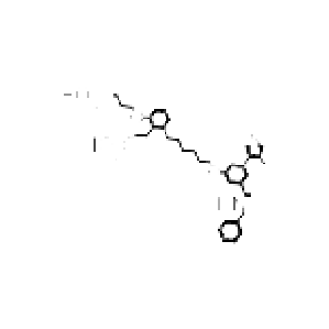 Cc1cscc1-c1cc(OCCCCCCc2cccc(OCCCC(=O)O)c2CCC(=O)O)cc(C(=O)NCc2ccccc2)c1